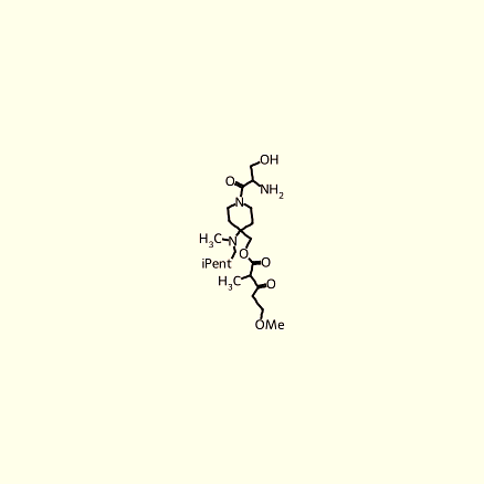 CCCC(C)CN(C)C1(COC(=O)C(C)C(=O)CCOC)CCN(C(=O)C(N)CO)CC1